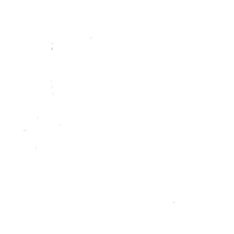 CCCCCCCCCCCCCCCCS(=O)(=O)N1CC[N+](C)(CCC[N+]2(C)CCOCC2)CC1